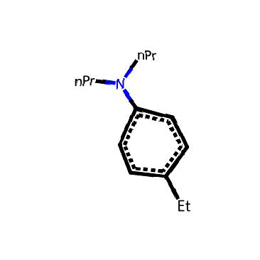 CCCN(CCC)c1ccc(CC)cc1